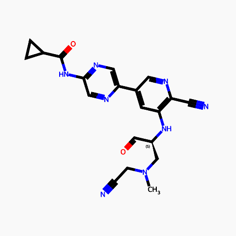 CN(CC#N)C[C@@H](C=O)Nc1cc(-c2cnc(NC(=O)C3CC3)cn2)cnc1C#N